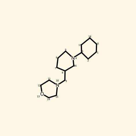 C1CCC(N2CCCC(CN3CCOCC3)C2)CC1